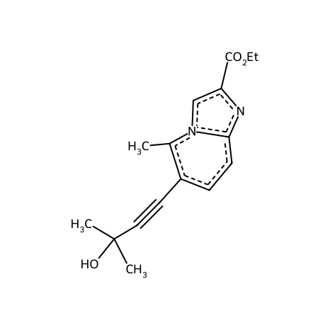 CCOC(=O)c1cn2c(C)c(C#CC(C)(C)O)ccc2n1